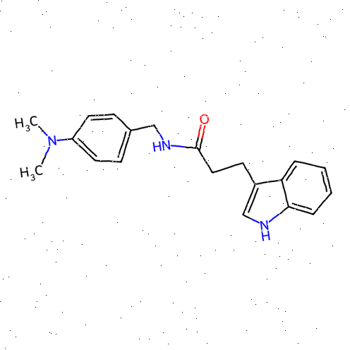 CN(C)c1ccc(CNC(=O)CCc2c[nH]c3ccccc23)cc1